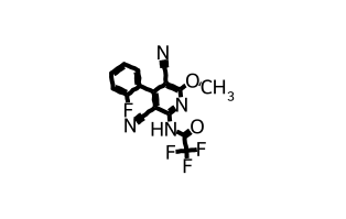 COc1nc(NC(=O)C(F)(F)F)c(C#N)c(-c2ccccc2F)c1C#N